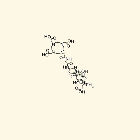 C[C@H](CCC(=O)O)[C@H]1CC[C@H]2[C@@H]3[C@H](O)C[C@@H]4C[C@@H](NC(=O)CNC(=O)CN5CCN(CC(=O)O)CCN(CC(=O)O)CCN(CC(=O)O)CC5)CC[C@]4(C)[C@H]3C[C@H](O)[C@]12C